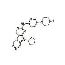 c1cc2c3cnc(Nc4ccc(N5CCNCC5)cn4)nc3n(C3CCCC3)c2cn1